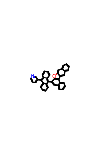 c1cncc(-c2c3ccccc3c(-c3cc4ccccc4c4c3oc3cc5ccccc5cc34)c3ccccc23)c1